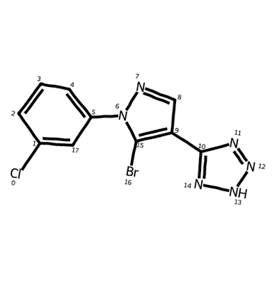 Clc1cccc(-n2ncc(-c3nn[nH]n3)c2Br)c1